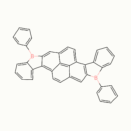 c1ccc(B2c3ccccc3-c3c2cc2ccc4c5c(cc6ccc3c2c64)B(c2ccccc2)c2ccccc2-5)cc1